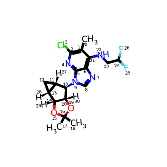 Cc1c(Cl)nc2c(ncn2[C@@H]2[C@H]3C[C@H]3[C@H]3OC(C)(C)O[C@H]32)c1NCC(F)F